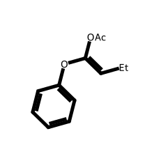 CCC=C(OC(C)=O)Oc1ccccc1